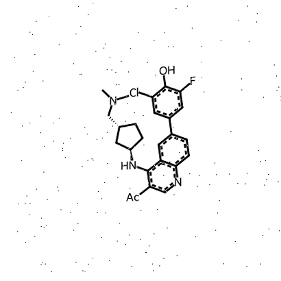 CC(=O)c1cnc2ccc(-c3cc(F)c(O)c(Cl)c3)cc2c1N[C@@H]1CC[C@@H](CN(C)C)C1